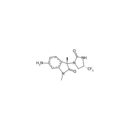 CN1C(=O)[C@@](C)(N2C[C@@H](C(F)(F)F)NC2=O)c2ccc(N)cc21